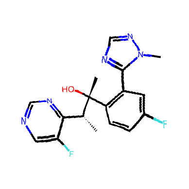 C[C@H](c1ncncc1F)[C@](C)(O)c1ccc(F)cc1-c1ncnn1C